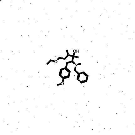 CCOCCC(C)C(C)(O)C(Cc1ccc(OC)cc1)N(C)Cc1ccccc1